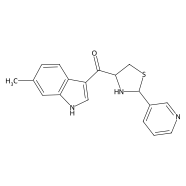 Cc1ccc2c(C(=O)C3CSC(c4cccnc4)N3)c[nH]c2c1